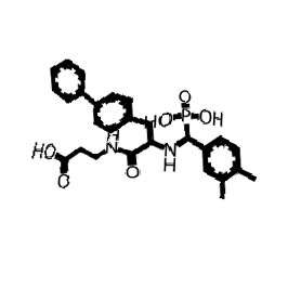 Cc1ccc(C(NC(Cc2ccc(-c3ccccc3)cc2)C(=O)NCCC(=O)O)P(=O)(O)O)cc1C